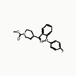 COC(=O)N1CCC(c2nn(-c3ccc(F)cc3)c3ccccc23)CC1